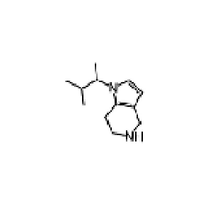 CC(C)C(C)n1ccc2c1CCNC2